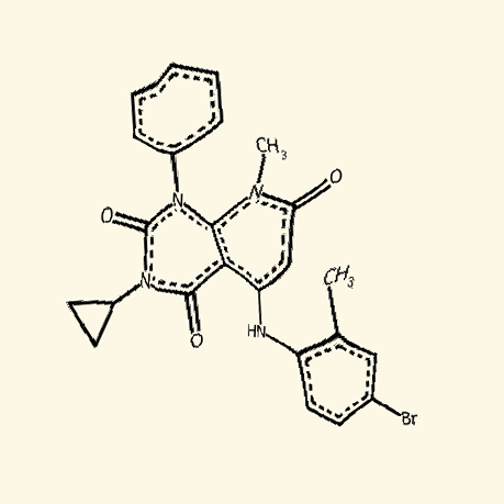 Cc1cc(Br)ccc1Nc1cc(=O)n(C)c2c1c(=O)n(C1CC1)c(=O)n2-c1ccccc1